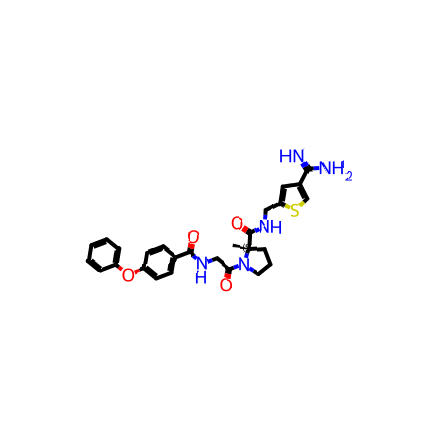 C[C@@]1(C(=O)NCc2cc(C(=N)N)cs2)CCCN1C(=O)CNC(=O)c1ccc(Oc2ccccc2)cc1